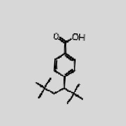 CC(C)(C)CC(c1ccc(C(=O)O)cc1)C(C)(C)C